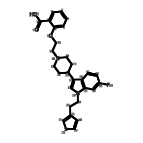 O=C(O)c1ccccc1OCCN1CCC(c2cn(CCc3ccsc3)c3cc(F)ccc23)CC1